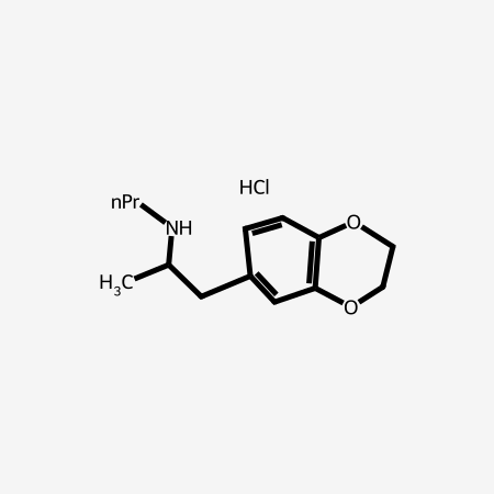 CCCNC(C)Cc1ccc2c(c1)OCCO2.Cl